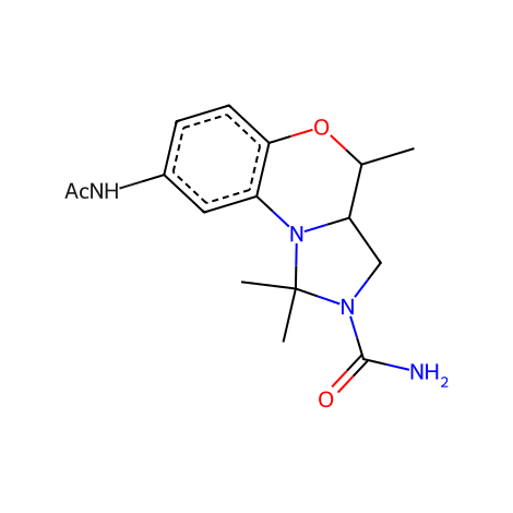 CC(=O)Nc1ccc2c(c1)N1C(CN(C(N)=O)C1(C)C)C(C)O2